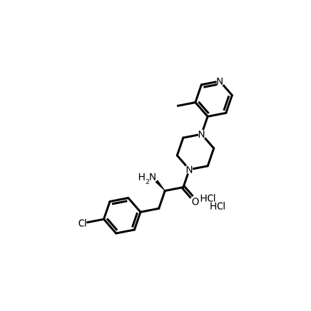 Cc1cnccc1N1CCN(C(=O)[C@H](N)Cc2ccc(Cl)cc2)CC1.Cl.Cl